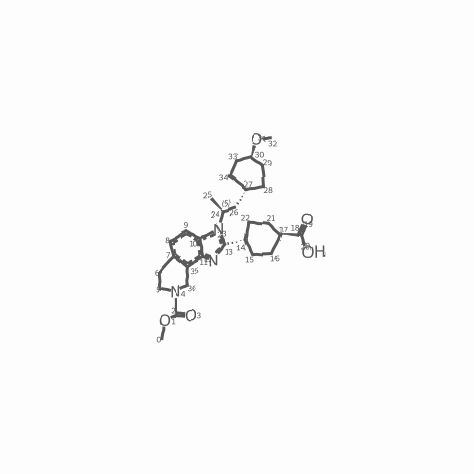 COC(=O)N1CCc2ccc3c(nc([C@H]4CC[C@H](C(=O)O)CC4)n3[C@@H](C)C[C@H]3CC[C@H](OC)CC3)c2C1